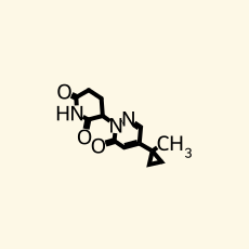 CC1(c2cnn(C3CCC(=O)NC3=O)c(=O)c2)CC1